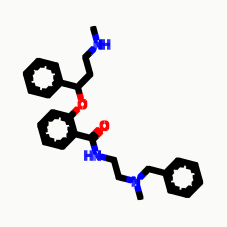 CNCCC(Oc1ccccc1C(=O)NCCN(C)Cc1ccccc1)c1ccccc1